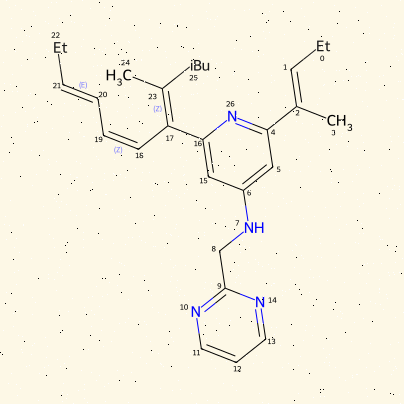 CCC=C(C)c1cc(NCc2ncccn2)cc(C(/C=C\C=C\CC)=C(/C)C(C)CC)n1